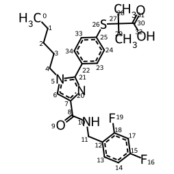 CCCCCn1cc(C(=O)NCc2ccc(F)cc2F)nc1-c1ccc(SC(C)(C)C(=O)O)cc1